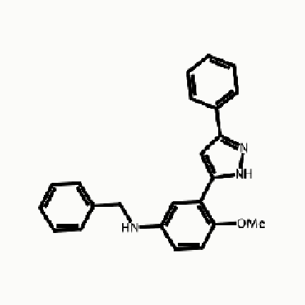 COc1ccc(NCc2ccccc2)cc1-c1cc(-c2ccccc2)n[nH]1